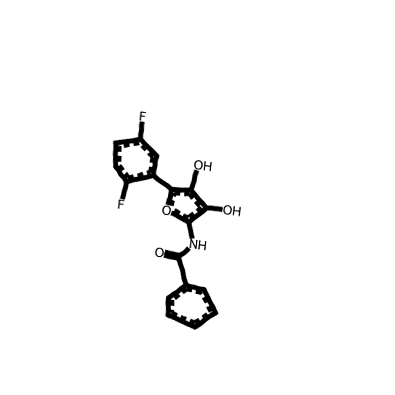 O=C(Nc1oc(-c2cc(F)ccc2F)c(O)c1O)c1ccccc1